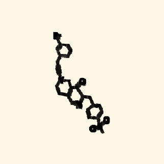 CS(=O)(=O)c1ccc(CC2N=CC3=C(CN(C#CCc4cccc(Br)c4)C=C3)C2=O)cc1